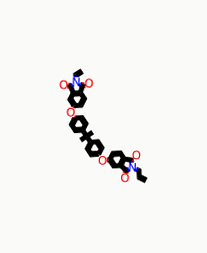 C=CCN1C(=O)c2ccc(Oc3ccc(C(C)(C)c4ccc(Oc5ccc6c(c5)C(=O)N(C=C)C6=O)cc4)cc3)cc2C1=O